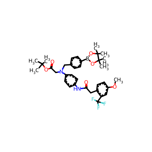 COc1ccc(CC(=O)Nc2ccc(N(CC(=O)OC(C)(C)C)Cc3ccc(B4OC(C)(C)C(C)(C)O4)cc3)cc2)c(C(F)(F)F)c1